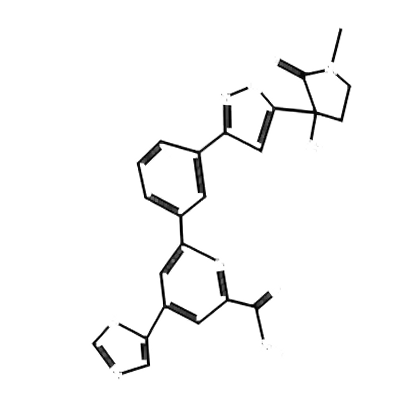 CN1CCC(O)(c2cc(-c3cccc(-c4cc(-c5cncs5)cc(C(N)=O)n4)c3)no2)C1=O